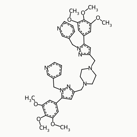 COc1cc(-c2cc(CN3CCN(Cc4cc(-c5cc(OC)c(OC)c(OC)c5)n(Cc5cccnc5)n4)CC3)nn2Cc2cccnc2)cc(OC)c1OC